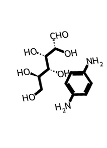 Nc1ccc(N)cc1.O=C[C@H](O)[C@@H](O)[C@H](O)[C@H](O)CO